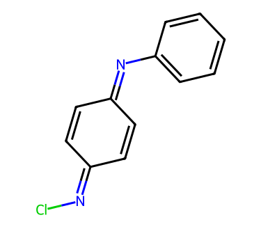 ClN=C1C=CC(=Nc2ccccc2)C=C1